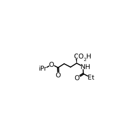 CCC(=O)N[C@@H](CCC(=O)OC(C)C)C(=O)O